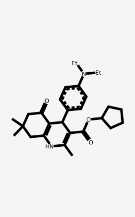 CCN(CC)c1ccc(C2C(C(=O)OC3CCCC3)=C(C)NC3=C2C(=O)CC(C)(C)C3)cc1